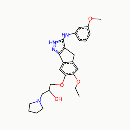 CCOc1cc2c(cc1OCC(O)CN1CCCC1)-c1n[nH]c(Nc3cccc(OC)c3)c1C2